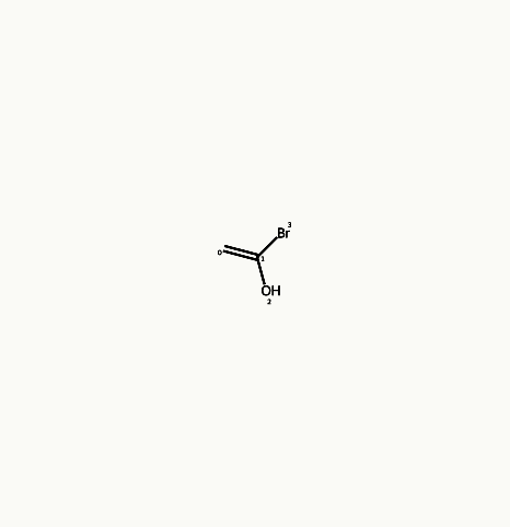 C=C(O)Br